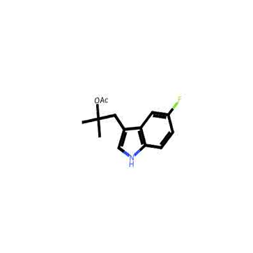 CC(=O)OC(C)(C)Cc1c[nH]c2ccc(F)cc12